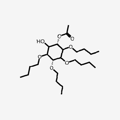 CCCCOC1C(O)[C@H](OC(C)=O)C(OCCCC)C(OCCCC)[C@@H]1OCCCC